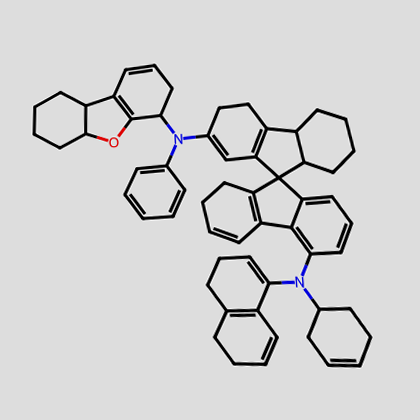 C1=CC2=C(CC1)CCC=C2N(c1cccc2c1C1=C(CCC=C1)C21C2=C(CCC(N(c3ccccc3)C3CC=CC4=C3OC3CCCCC43)=C2)C2CCCCC21)C1CC=CCC1